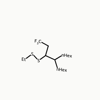 CCCCCCC(CCCCCC)C(CC(F)(F)F)SSCC